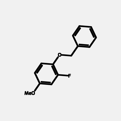 COc1ccc(OCc2ccccc2)c(F)c1